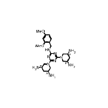 COc1ccc(CNc2nc(N3C[C@H](N)C[C@H](N)C3)nc(N3C[C@H](N)C[C@H](N)C3)n2)c(OC)c1